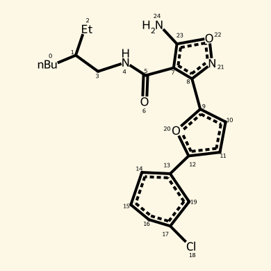 CCCCC(CC)CNC(=O)c1c(-c2ccc(-c3cccc(Cl)c3)o2)noc1N